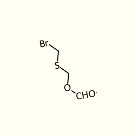 O=[C]OCSCBr